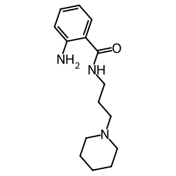 Nc1ccccc1C(=O)NCCCN1CCCCC1